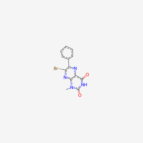 Cn1c(=O)[nH]c(=O)c2nc(-c3ccccc3)c(Br)nc21